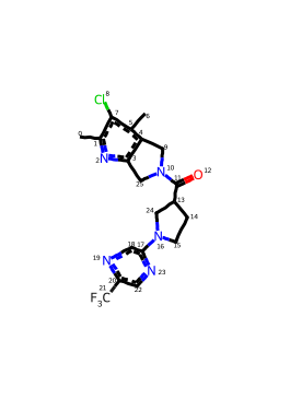 Cc1nc2c(c(C)c1Cl)CN(C(=O)C1CCN(c3cnc(C(F)(F)F)cn3)C1)C2